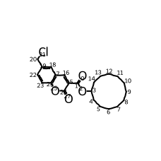 O=C(OC1CCCCCCCCCCC1)c1cc2cc(CCl)ccc2oc1=O